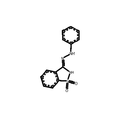 O=S1(=O)NC(=NNc2ccccc2)c2ccccc21